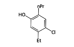 CCCc1cc(Cl)c(CC)cc1O